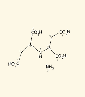 N.O=C(O)CC(NC(CC(=O)O)C(=O)O)C(=O)O